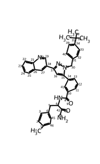 Cc1ccc(CC(NC(=O)c2cccc(-c3cc(-c4cnc5ccccc5c4)nn3Cc3ccc(C(C)(C)C)cc3)c2)C(N)=O)cc1